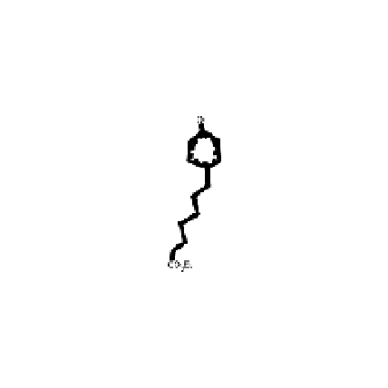 CCOC(=O)CCCCCCc1ccc([O])cc1